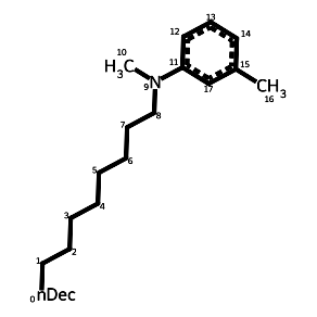 CCCCCCCCCCCCCCCCCCN(C)c1cccc(C)c1